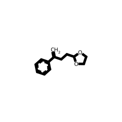 C=C(CCC1OCCO1)c1ccccc1